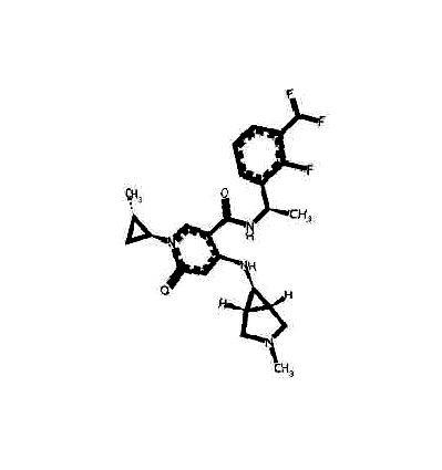 C[C@@H](NC(=O)c1cn([C@H]2C[C@@H]2C)c(=O)cc1N[C@H]1[C@@H]2CN(C)C[C@@H]21)c1cccc(C(F)F)c1F